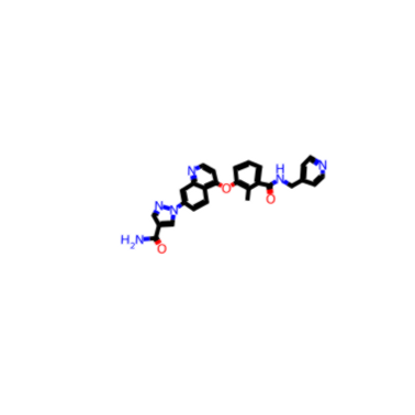 Cc1c(Oc2ccnc3cc(-n4cc(C(N)=O)cn4)ccc23)cccc1C(=O)NCc1ccncc1